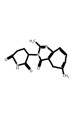 CC1=CC=Cc2nc(C)n(C3CCC(=O)NC3=O)c(=O)c2C1